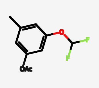 CC(=O)Oc1cc(C)cc(OC(F)F)c1